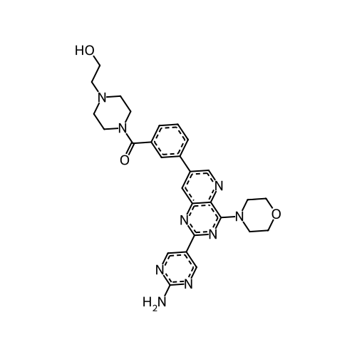 Nc1ncc(-c2nc(N3CCOCC3)c3ncc(-c4cccc(C(=O)N5CCN(CCO)CC5)c4)cc3n2)cn1